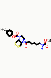 CC(C)(C)OC(=O)NCCCCCC(=O)N1CCN(C(=O)Oc2ccc(C=O)cc2)C2CSSCC21